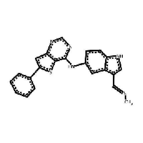 CN=Cc1c[nH]c2ccc(Nc3ncnc4cc(-c5ccccc5)sc34)cc12